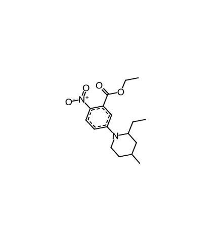 CCOC(=O)c1cc(N2CCC(C)CC2CC)ccc1[N+](=O)[O-]